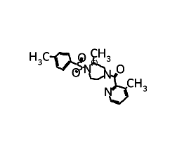 Cc1ccc(S(=O)(=O)N2CCN(C(=O)c3ncccc3C)C[C@@H]2C)cc1